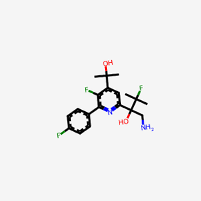 CC(C)(O)c1cc(C(O)(CN)C(C)(C)F)nc(-c2ccc(F)cc2)c1F